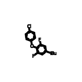 CCC(C)c1cc(F)c(Oc2ccc(Cl)cc2)c(F)c1